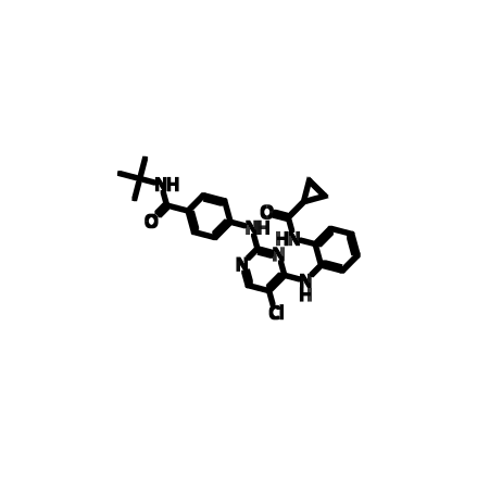 CC(C)(C)NC(=O)c1ccc(Nc2ncc(Cl)c(Nc3ccccc3NC(=O)C3CC3)n2)cc1